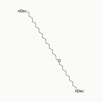 CCCCCCCCCCCCCCCCCCCCCCCCCCCCOCCCCCCCCCCCCCCCCCCCC